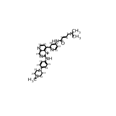 CN(C)CC=CC(=O)Nc1ccnc(-c2ccnc3cnc(Nc4ccc(N5CCN(C)CC5)cc4)nc23)c1